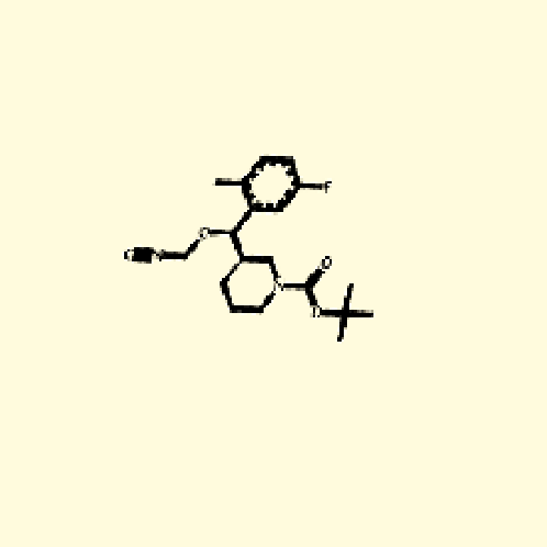 [C-]#[N+]CO[C@@H](c1cc(F)ccc1C)[C@@H]1CCCN(C(=O)OC(C)(C)C)C1